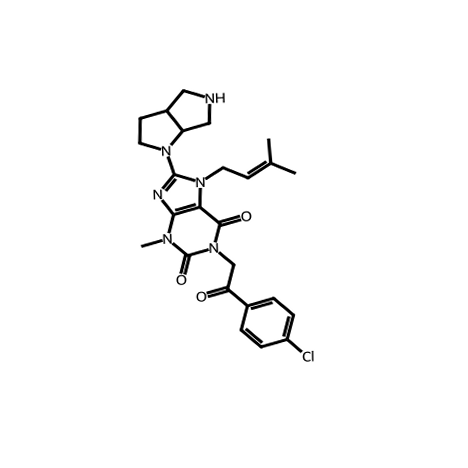 CC(C)=CCn1c(N2CCC3CNCC32)nc2c1c(=O)n(CC(=O)c1ccc(Cl)cc1)c(=O)n2C